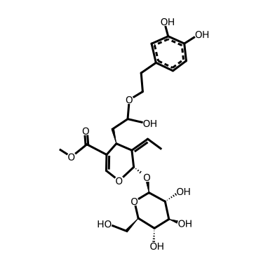 C/C=C1\[C@H](O[C@@H]2O[C@H](CO)[C@@H](O)[C@H](O)[C@H]2O)OC=C(C(=O)OC)[C@H]1CC(O)OCCc1ccc(O)c(O)c1